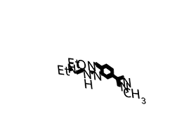 CCN(CC)CC(=O)Nc1ncc2ccc(-c3cnn(C)c3)cc2n1